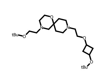 CC(C)(C)OCCN1CCOC2(CCN(CCOC3CC(OC(C)(C)C)C3)CC2)C1